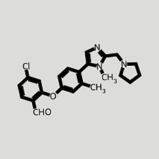 Cc1cc(Oc2cc(Cl)ccc2C=O)ccc1-c1cnc(CN2CCCC2)n1C